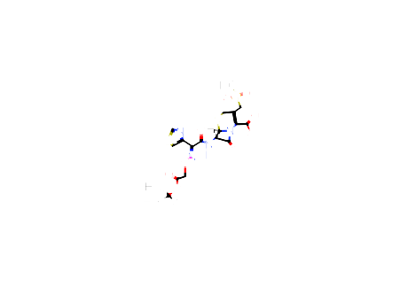 CC(C)(C)OC(=O)CON=C(C(=O)NC1C(=O)N2C(C(=O)O)=C(CS(C)(=O)=O)CS[C@@H]12)c1cscn1